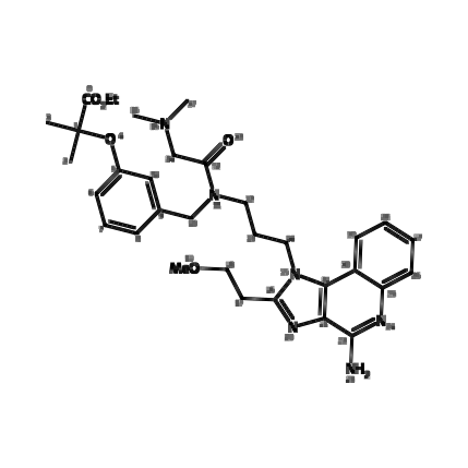 CCOC(=O)C(C)(C)Oc1cccc(CN(CCCn2c(CCOC)nc3c(N)nc4ccccc4c32)C(=O)CN(C)C)c1